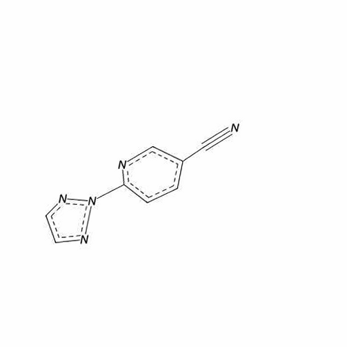 N#Cc1ccc(-n2nccn2)nc1